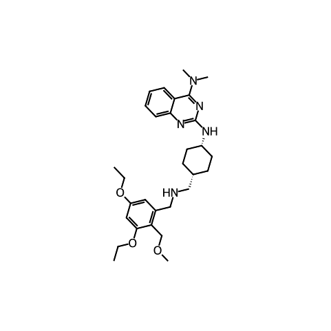 CCOc1cc(CNC[C@H]2CC[C@@H](Nc3nc(N(C)C)c4ccccc4n3)CC2)c(COC)c(OCC)c1